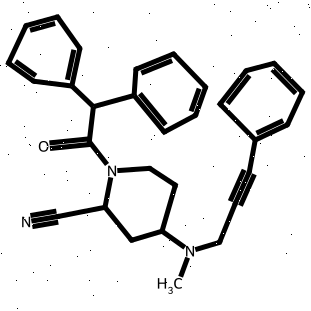 CN(CC#Cc1ccccc1)C1CCN(C(=O)C(c2ccccc2)c2ccccc2)C(C#N)C1